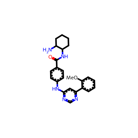 COc1ccccc1-c1cc(Nc2ccc(C(=O)NC3CCCCC3N)cc2)ncn1